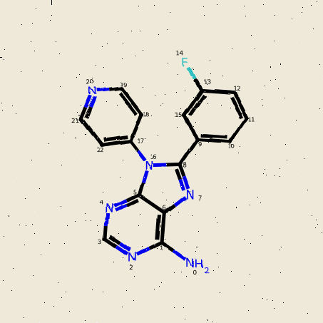 Nc1ncnc2c1nc(-c1cccc(F)c1)n2-c1ccncc1